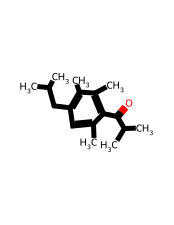 Cc1cc(CC(C)C)c(C)c(C)c1C(=O)C(C)C